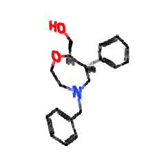 OC[C@@H]1OCCN(Cc2ccccc2)C[C@H]1c1ccccc1